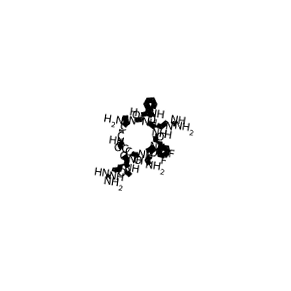 C=C(N)C1CCCNC(=O)CC[C@H](NC(=O)[C@H](CCCNC(=N)N)NC(C)=O)C(=O)N[C@@H](CCN)C(=O)N[C@H](Cc2ccc(F)c(F)c2)C(=O)N[C@@H](CCCNC(=N)N)C(=O)N[C@@H](Cc2c[nH]c3ccccc23)C(=O)N1